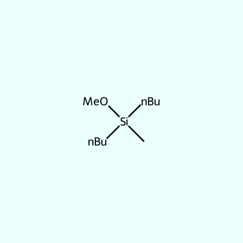 CCCC[Si](C)(CCCC)OC